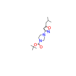 CC(C)Cc1cc(N2CCN(C(=O)OC(C)(C)C)CC2)no1